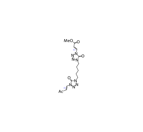 COC(=O)/C=C/n1nnn(CCCCCn2nnn(/C=C/C(C)=O)c2=O)c1=O